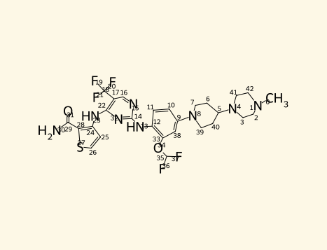 CN1CCN(C2CCN(c3ccc(Nc4ncc(C(F)(F)F)c(Nc5ccsc5C(N)=O)n4)c(OC(F)F)c3)CC2)CC1